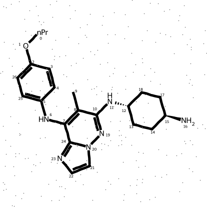 CCCOc1ccc(Nc2c(C)c(N[C@H]3CC[C@H](N)CC3)nn3ccnc23)cc1